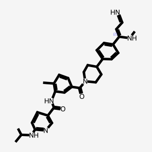 CN/C(=C\C=N)c1ccc(C2CCN(C(=O)c3ccc(C)c(NC(=O)c4ccc(NC(C)C)nc4)c3)CC2)cc1